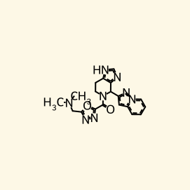 CN(C)Cc1nnc(C(=O)N2CCc3[nH]cnc3C2c2cc3ccccn3n2)o1